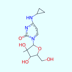 CC1(O)C(O)C(CO)OC1n1ccc(NC2CC2)nc1=O